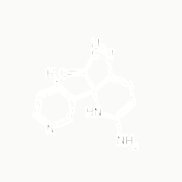 C=C(C)C1(c2cccnc2)NC(N)=CC=C1Cl